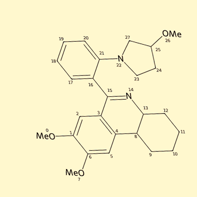 COc1cc2c(cc1OC)C1CCCCC1N=C2c1ccccc1N1CCC(OC)C1